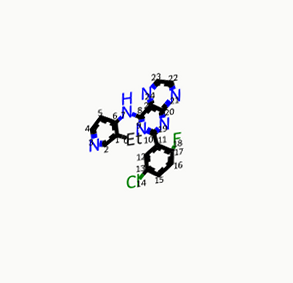 CCc1cnccc1Nc1nc(-c2cc(Cl)ccc2F)nc2nccnc12